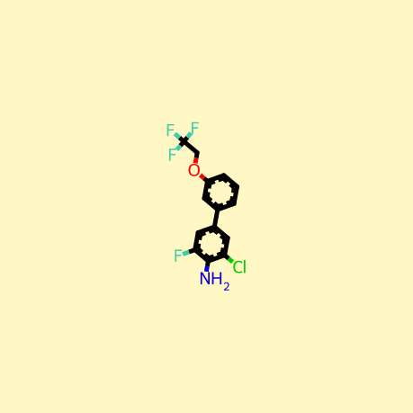 Nc1c(F)cc(-c2cccc(OCC(F)(F)F)c2)cc1Cl